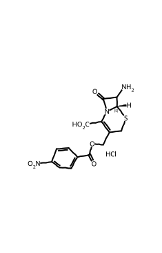 Cl.NC1C(=O)N2C(C(=O)O)=C(COC(=O)c3ccc([N+](=O)[O-])cc3)CS[C@@H]12